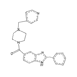 O=C(c1ccc2[nH]c(-c3ccccc3)nc2c1)N1CCN(Cc2ccncc2)CC1